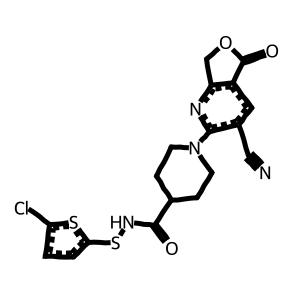 N#Cc1cc2c(nc1N1CCC(C(=O)NSc3ccc(Cl)s3)CC1)COC2=O